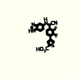 N#CC(Nc1ccc2[nH]cnc2c1)c1ccc(-c2csc(C(=O)O)c2)c(F)c1F